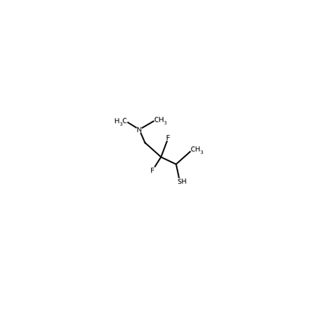 CC(S)C(F)(F)CN(C)C